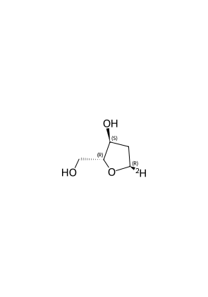 [2H][C@@H]1C[C@H](O)[C@@H](CO)O1